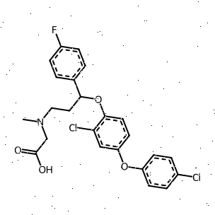 CN(CCC(Oc1ccc(Oc2ccc(Cl)cc2)cc1Cl)c1ccc(F)cc1)CC(=O)O